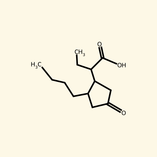 CCCCC1CC(=O)CC1C(CC)C(=O)O